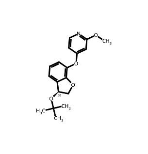 COc1cc(Oc2cccc3c2OC[C@H]3OC(C)(C)C)ccn1